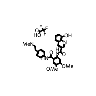 CNCCc1ccc(NC(=O)c2cc(OC)c(OC)cc2NC(=O)c2cnc3c(O)cccc3c2)cc1.O=C(O)C(F)(F)F